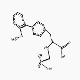 COc1ccccc1-c1ccc(CC(NCP(=O)(O)O)C(=O)O)cc1